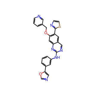 c1cncc(COc2cc3nc(Nc4cccc(-c5cnco5)c4)ncc3cc2-c2nccs2)c1